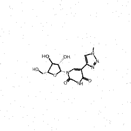 Cn1cc(-c2cn([C@@H]3O[C@H](CO)C(O)[C@@H]3O)c(=O)[nH]c2=O)nn1